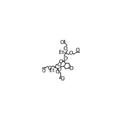 CCC(COCC1CO1)(COCC1CO1)COC(=O)C1CC2OC2CC1C(=O)OCC(CC)(COCC1CO1)COCC1CO1